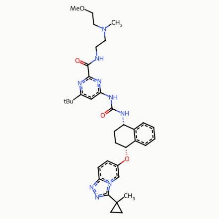 COCCN(C)CCNC(=O)c1nc(NC(=O)N[C@H]2CC[C@@H](Oc3ccc4nnc(C5(C)CC5)n4c3)c3ccccc32)cc(C(C)(C)C)n1